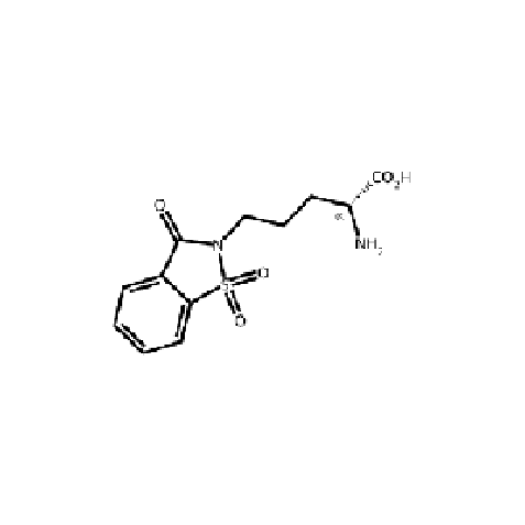 N[C@H](CCCN1C(=O)c2ccccc2S1(=O)=O)C(=O)O